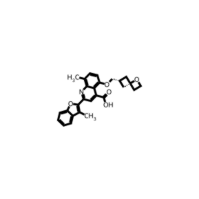 Cc1c(-c2cc(C(=O)O)c3c(OC[C@H]4C[C@]5(CCO5)C4)ccc(C)c3n2)oc2ccccc12